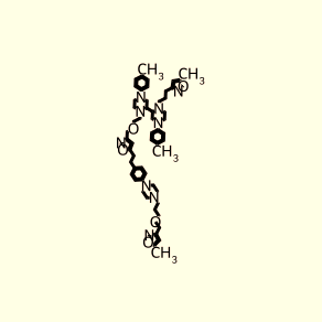 Cc1ccc(N2CCN(CCCc3cc(C)on3)C(C3CN(c4ccc(C)cc4)CCN3CCOCc3cc(CCc4ccc(N5CCN(CCCOCc6cc(C)on6)CC5)cc4)on3)C2)cc1